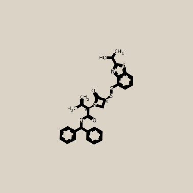 C=C(C)[C@H](C(=O)OC(c1ccccc1)c1ccccc1)N1C[C@H](SSc2cccc3sc(C(C)O)nc23)C1=O